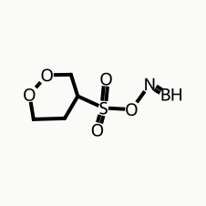 B=NOS(=O)(=O)C1CCOOC1